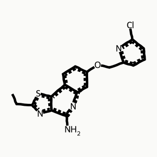 CCc1nc2c(N)nc3cc(OCc4cccc(Cl)n4)ccc3c2s1